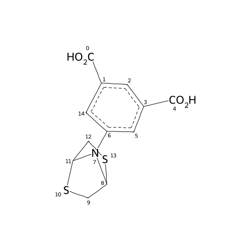 O=C(O)c1cc(C(=O)O)cc(N2C3CSC2CS3)c1